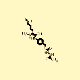 CN[C@@H](CCCCNI)C(O)Nc1ccc(COC(=O)NNC(C)=O)cc1